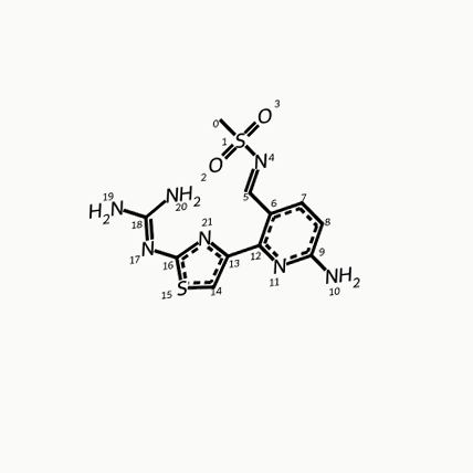 CS(=O)(=O)N=Cc1ccc(N)nc1-c1csc(N=C(N)N)n1